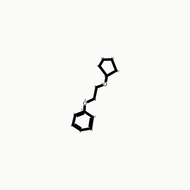 [c]1ccc(OCCOC2CCCC2)cc1